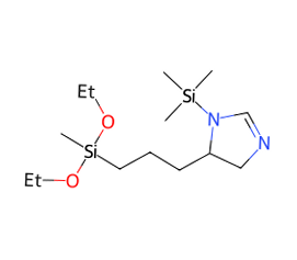 CCO[Si](C)(CCCC1CN=CN1[Si](C)(C)C)OCC